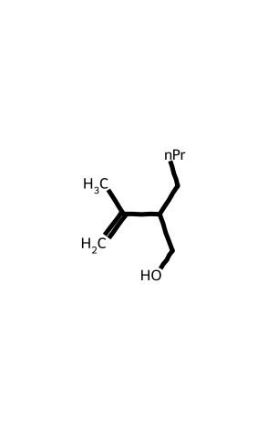 C=C(C)C(CO)CCCC